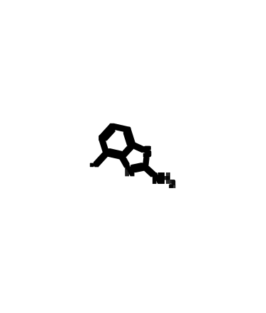 [CH2]c1cccc2sc(N)nc12